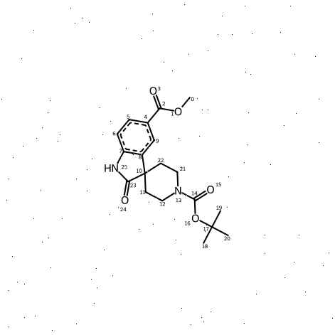 COC(=O)c1ccc2c(c1)C1(CCN(C(=O)OC(C)(C)C)CC1)C(=O)N2